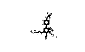 CCCCc1cc(-c2ccc(OC(F)(F)F)cc2)c2ncn(C)c2c1C#N